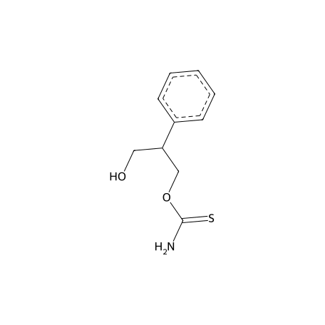 NC(=S)OCC(CO)c1ccccc1